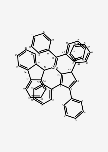 C1=C(c2ccccc2)C(c2ccccc2)=[C]([Zr](=[C](c2ccccc2)c2ccccc2)[CH]2c3ccccc3-c3ccccc32)C1c1ccccc1